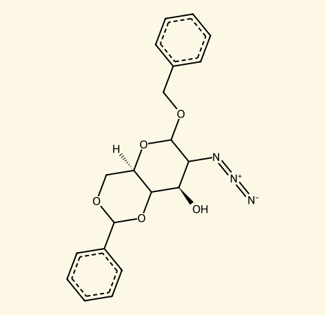 [N-]=[N+]=NC1C(OCc2ccccc2)O[C@@H]2COC(c3ccccc3)OC2[C@@H]1O